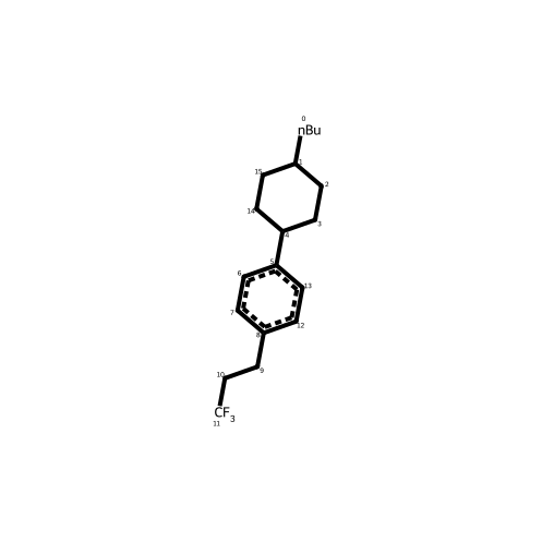 CCCCC1CCC(c2ccc(CCC(F)(F)F)cc2)CC1